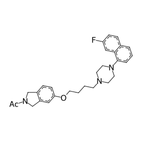 CC(=O)N1Cc2ccc(OCCCCN3CCN(c4cccc5ccc(F)cc45)CC3)cc2C1